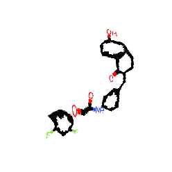 O=C(COc1ccc(F)cc1F)Nc1ccc(CC2CCc3cc(O)ccc3C2=O)cc1